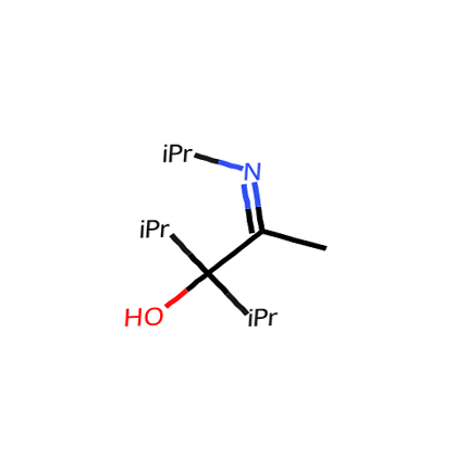 CC(=NC(C)C)C(O)(C(C)C)C(C)C